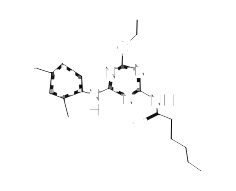 CCCCCC(=O)Nc1nc(Nc2ccc(I)cc2C)nc(OCC)n1